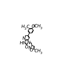 COc1ccc(-c2cnc3[nH]c(=O)n(Cc4cc(C)on4)c3c2)cc1C